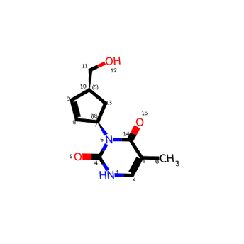 Cc1c[nH]c(=O)n([C@H]2C=C[C@@H](CO)C2)c1=O